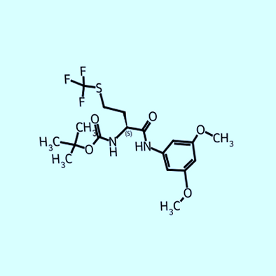 COc1cc(NC(=O)[C@H](CCSC(F)(F)F)NC(=O)OC(C)(C)C)cc(OC)c1